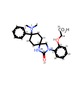 CN(C)C1(c2ccccc2)CCC2(CC1)CN(c1ccccc1OCC(=O)O)C(=O)N2